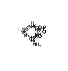 NCCCC[C@H]1NC(=O)/C=C/C(=O)N[C@H](C(N)=O)CCCCNC(=O)[C@@H](Cc2ccc(C(=O)c3ccccc3)cc2)NC(=O)[C@@H](CC2CCCCC2)NC1=O